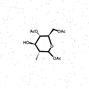 CC(=O)OC[C@H]1OC(OC(C)=O)[C@H](C)[C@@H](O)[C@@H]1OC(C)=O